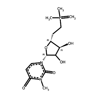 C=P(C)(C)CC[C@H]1O[C@@H](n2ccc(=O)n(C)c2=O)C(O)[C@@H]1O